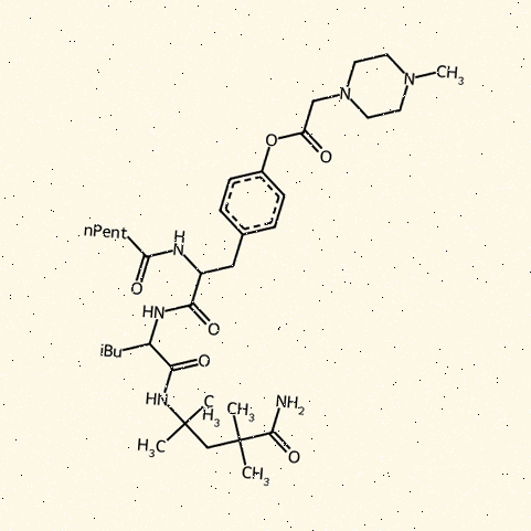 CCCCCC(=O)NC(Cc1ccc(OC(=O)CN2CCN(C)CC2)cc1)C(=O)NC(C(=O)NC(C)(C)CC(C)(C)C(N)=O)C(C)CC